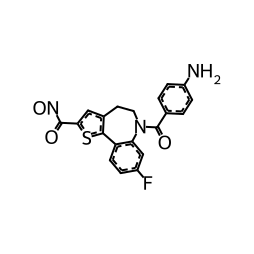 Nc1ccc(C(=O)N2CCc3cc(C(=O)N=O)sc3-c3ccc(F)cc32)cc1